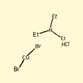 CCN(CC)CC.Cl.[Br][Cu][Br]